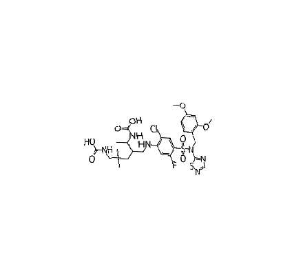 COc1ccc(CN(c2ncns2)S(=O)(=O)c2cc(Cl)c(NCC(CC(C)(C)CNC(=O)O)C(C)NC(=O)O)cc2F)c(OC)c1